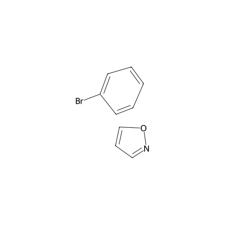 Brc1ccccc1.c1cnoc1